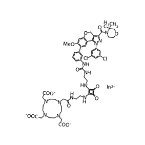 COc1cc2c(cc1-c1cccc(NC(=O)NCCNc3c(NCCNC(=O)CN4CCN(CC(=O)[O-])CCN(CC(=O)[O-])CCN(CC(=O)[O-])CC4)c(=O)c3=O)c1)-c1c(c(C(=O)N3CCOCC3(C)C)nn1-c1cc(Cl)cc(Cl)c1)CO2.[In+3]